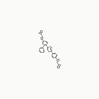 C1=C(c2ccc(OCC3CO3)cc2-c2ccccc2)CCC(c2ccc(OCC3CO3)cc2)C1